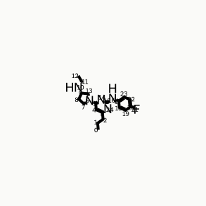 CCCc1cc(N2CC[C@H](NCC)C2)nc(Nc2ccc(F)cc2)n1